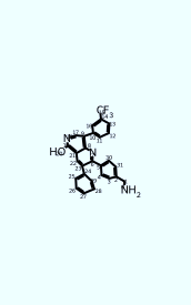 NCc1ccc(-c2nc3c(-c4cccc(C(F)(F)F)c4)cnc(O)c3cc2-c2ccccc2)cc1